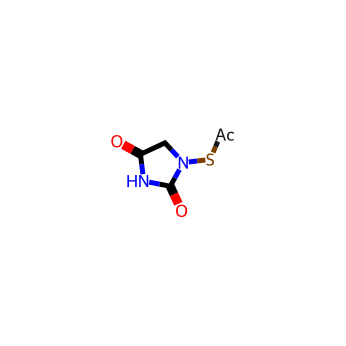 CC(=O)SN1CC(=O)NC1=O